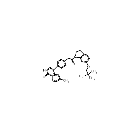 Cc1ccc2c(=O)[nH]cc(-c3ccc(CC(=O)N4CCc5ccc(OCC(C)(C)C)cc54)cc3)c2c1